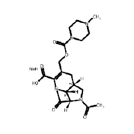 CC(=O)N1C[C@H]2CC(COC(=O)N3CCN(C)CC3)=C(C(=O)O)N3C(=O)[C@@H]1[C@@H]23.[NaH]